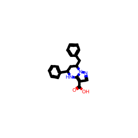 O=C(O)c1cnn2c1NC(c1ccccc1)CC2Cc1ccccc1